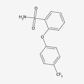 NS(=O)(=O)c1ccccc1Oc1ccc(C(F)(F)F)cc1